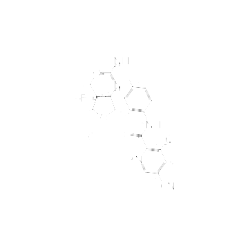 Cl.N#Cc1cnc(C(=O)Nc2ccc(F)c([C@]34COC[C@@]3(F)COC(N)=N4)c2)c(Cl)c1